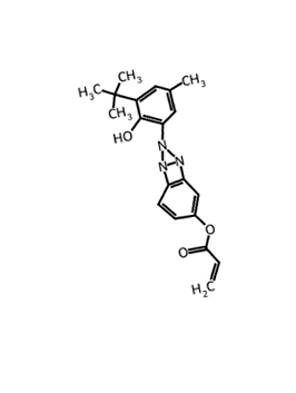 C=CC(=O)Oc1ccc2c(c1)n1n(-c3cc(C)cc(C(C)(C)C)c3O)n21